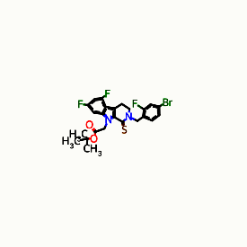 CC(C)(C)OC(=O)Cn1c2c(c3c(F)cc(F)cc31)CCN(Cc1ccc(Br)cc1F)C2=S